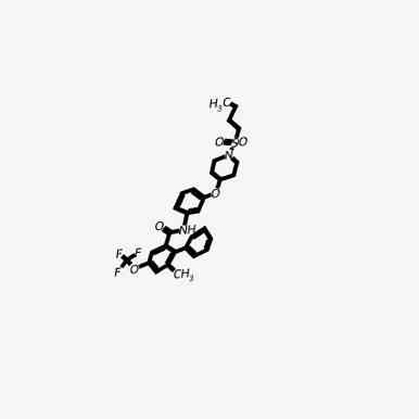 CCCCS(=O)(=O)N1CCC(Oc2cccc(NC(=O)c3cc(OC(F)(F)F)cc(C)c3-c3ccccc3)c2)CC1